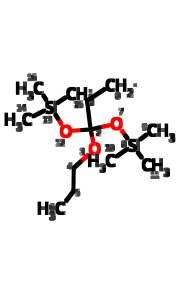 [CH2]CC(OCCC)(O[Si](C)(C)C)O[Si](C)(C)C